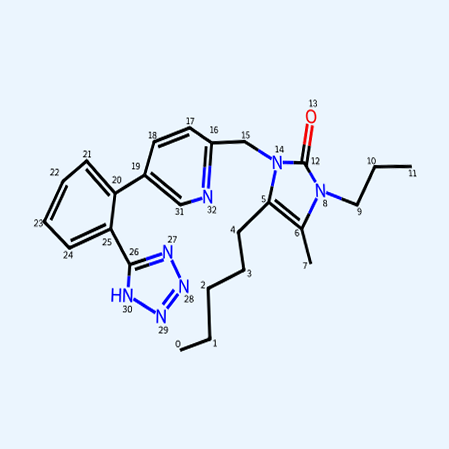 CCCCCc1c(C)n(CCC)c(=O)n1Cc1ccc(-c2ccccc2-c2nnn[nH]2)cn1